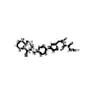 CCCCCC(=O)C(=O)N(C)Cc1cc(-c2ccc(C[C@H](OCC)C(=O)N3CCOCC3)cc2)cs1